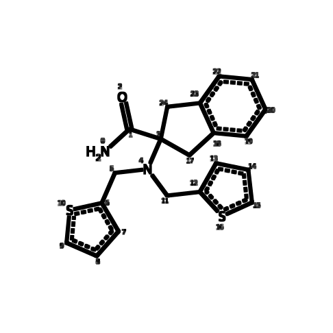 NC(=O)C1(N(Cc2cccs2)Cc2cccs2)Cc2c[c]ccc2C1